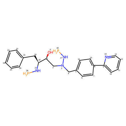 O[C@@H](CN(Cc1ccc(-c2ccccn2)cc1)NP)[C@H](Cc1ccccc1)NP